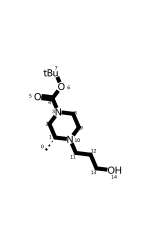 C[C@@H]1CN(C(=O)OC(C)(C)C)CCN1CCCO